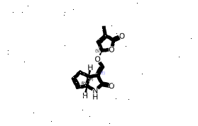 CC1=C[C@@H](O/C=C2/C(=O)N[C@@H]3C=CC[C@H]23)OC1=O